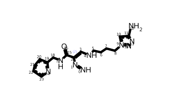 N=N/C(=C\NCCCCn1cc(N)nn1)C(=O)NCc1ccccn1